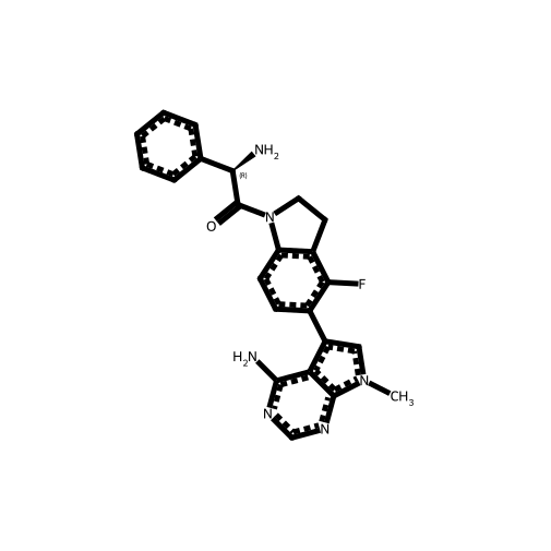 Cn1cc(-c2ccc3c(c2F)CCN3C(=O)[C@H](N)c2ccccc2)c2c(N)ncnc21